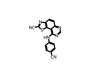 N#Cc1ccc(Nc2ncnc3ccc4nc(C#N)sc4c23)cc1